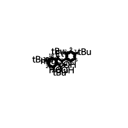 CCCCC(CC)C(c1ccc(C(C)(C)C)cc1C(C)(C)C)P(O)(O)(O)c1ccc(C(C)(C)C)cc1C(C)(C)C